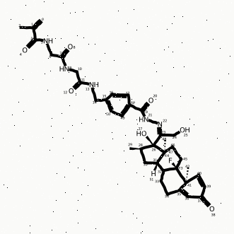 C=C(C)C(=O)NCC(=O)NCC(=O)NCc1ccc(C(=O)N/N=C(/CO)[C@@]2(O)[C@H](C)C[C@H]3C4CCC5=CC(=O)C=C[C@]5(C)[C@@]4(F)CC[C@@]32C)cc1